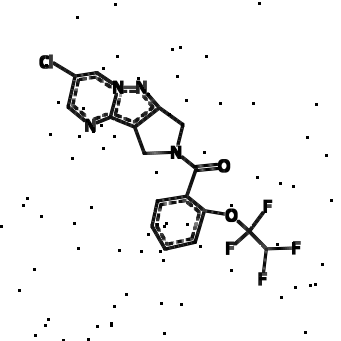 O=C(c1ccccc1OC(F)(F)C(F)F)N1Cc2nn3cc(Cl)cnc3c2C1